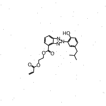 C=CC(=O)OCCOC(=O)c1cccc2c1n1n(-c3cc(CC(C)C)ccc3O)n21